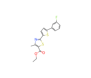 CCOC(=O)c1sc(-c2ccc(-c3cccc(F)c3)s2)nc1C